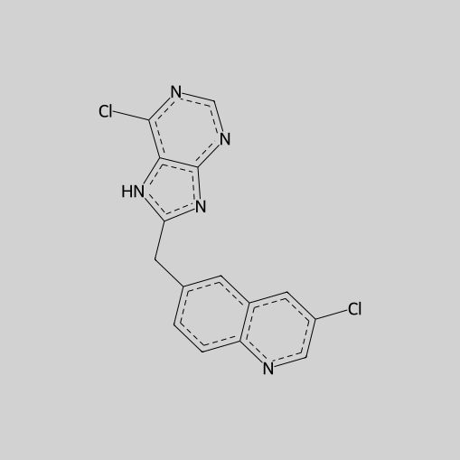 Clc1cnc2ccc(Cc3nc4ncnc(Cl)c4[nH]3)cc2c1